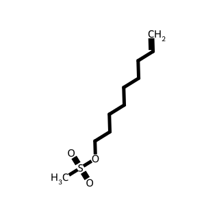 C=CCCCCCCCOS(C)(=O)=O